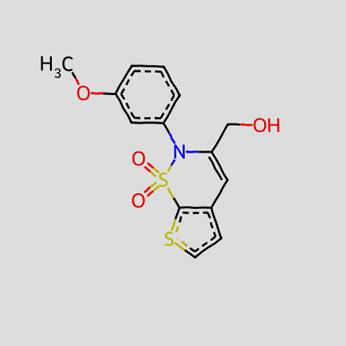 COc1cccc(N2C(CO)=Cc3ccsc3S2(=O)=O)c1